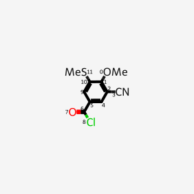 COc1c(C#N)cc(C(=O)Cl)cc1SC